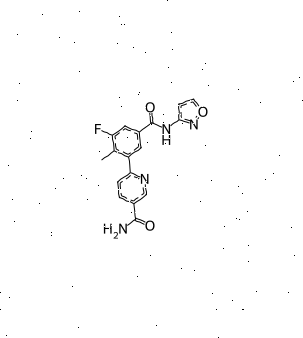 Cc1c(F)cc(C(=O)Nc2ccon2)cc1-c1ccc(C(N)=O)cn1